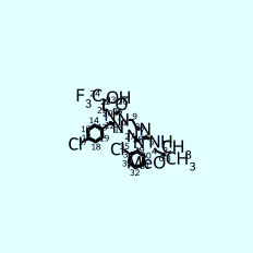 COC(C)(C)CNc1nc(Cn2nc(-c3ccc(Cl)cc3)n(CC(O)C(F)(F)F)c2=O)nn1-c1ccccc1Cl